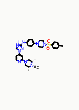 CC(=O)N1[C@H](C)CN(c2cc(-n3cnc(Nc4ccc(N5CCN(S(=O)(=O)c6ccc(C)cc6)CC5)cc4)n3)ccn2)C[C@@H]1C